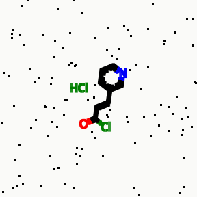 Cl.O=C(Cl)C=Cc1cccnc1